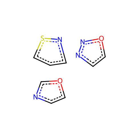 c1cnsc1.c1cocn1.c1conn1